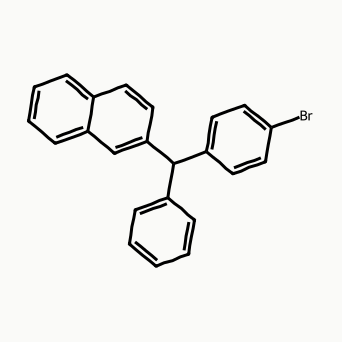 Brc1ccc(C(c2ccccc2)c2ccc3ccccc3c2)cc1